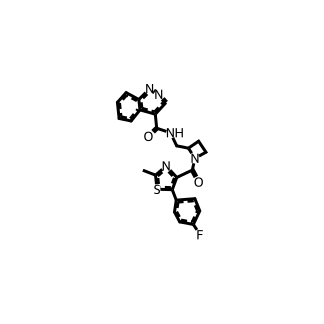 Cc1nc(C(=O)N2CCC2CNC(=O)c2cnnc3ccccc23)c(-c2ccc(F)cc2)s1